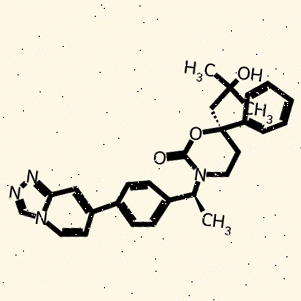 C[C@@H](c1ccc(-c2ccn3cnnc3c2)cc1)N1CC[C@](CC(C)(C)O)(c2ccccc2)OC1=O